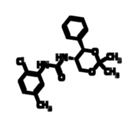 Cc1ccc(Cl)c(NC(=O)N[C@H]2COC(C)(C)O[C@@H]2c2ccccc2)c1